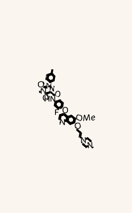 COc1cc2c(Oc3ccc(NC(=O)c4nn(-c5ccc(C)cc5)c(=O)n(C)c4=O)cc3F)ccnc2cc1OCCCN1CCN(C)CC1